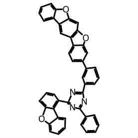 c1ccc(-c2nc(-c3cccc(-c4ccc5c(c4)oc4cc6oc7ccccc7c6cc45)c3)nc(-c3cccc4oc5ccccc5c34)n2)cc1